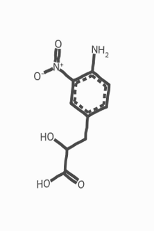 Nc1ccc(CC(O)C(=O)O)cc1[N+](=O)[O-]